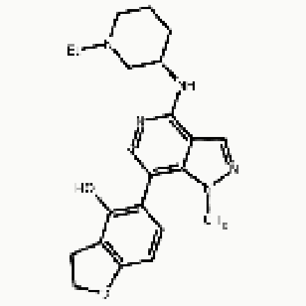 CCN1CCC[C@@H](Nc2nnc(-c3ccc4c(c3O)CCO4)c3c2cnn3C)C1